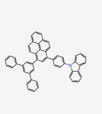 c1ccc(-c2cc(-c3ccccc3)cc(-c3cc(-c4ccc(-n5c6ccccc6c6ccccc65)cc4)c4ccc5cccc6ccc3c4c56)c2)cc1